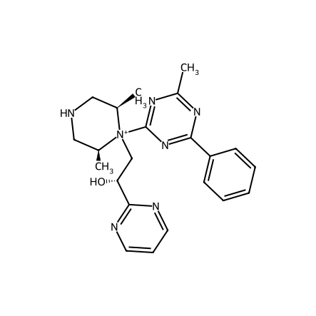 Cc1nc(-c2ccccc2)nc([N+]2(C[C@@H](O)c3ncccn3)[C@H](C)CNC[C@@H]2C)n1